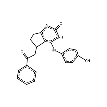 N#Cc1ccc(Nc2[nH]c(=O)nc3c2C(CC(=O)c2ccccc2)CC3)cc1